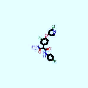 NC(=O)C(C(=O)Nc1ccc(F)cc1)c1ccc(Oc2ccnc(Cl)c2)c(F)c1